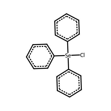 Cl[Se](c1ccccc1)(c1ccccc1)c1ccccc1